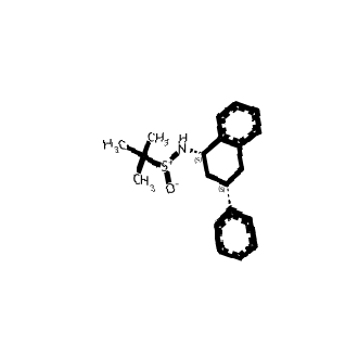 CC(C)(C)[S+]([O-])N[C@H]1C[C@@H](c2ccccc2)Cc2ccccc21